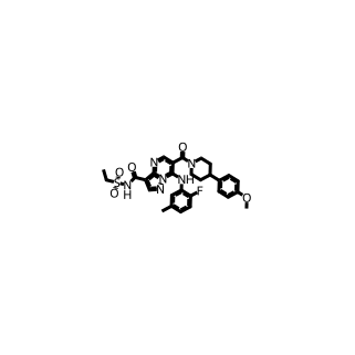 CCS(=O)(=O)NC(=O)c1cnn2c(Nc3cc(C)ccc3F)c(C(=O)N3CCC(c4ccc(OC)cc4)CC3)cnc12